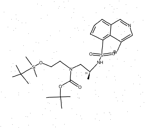 C[C@@H](CN(CCO[Si](C)(C)C(C)(C)C)C(=O)OC(C)(C)C)NS(=O)(=O)c1cccc2cncc(Br)c12